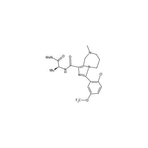 CNC(=O)[C@@H](NC(=O)c1nc(-c2cc(OC(F)(F)F)ccc2Cl)n2c1CN(C)CCC2)C(C)(C)C